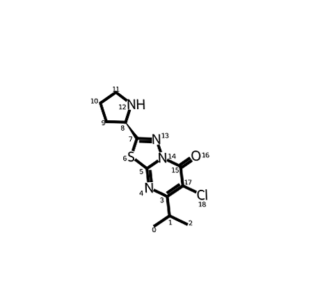 CC(C)c1nc2sc([C@H]3CCCN3)nn2c(=O)c1Cl